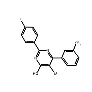 CCc1c(O)nc(-c2ccc(F)cc2)nc1-c1cccc(C(F)(F)F)c1